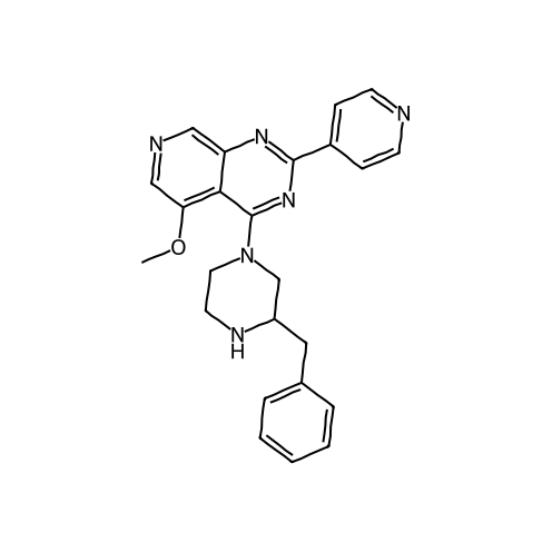 COc1cncc2nc(-c3ccncc3)nc(N3CCNC(Cc4ccccc4)C3)c12